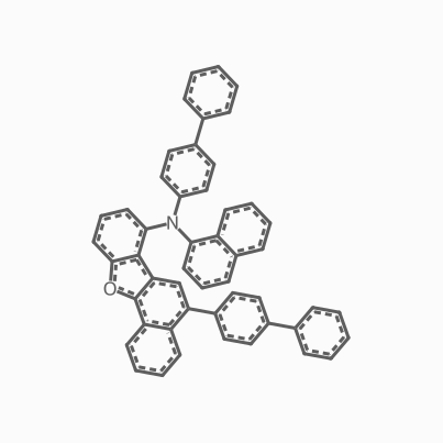 c1ccc(-c2ccc(-c3cc4c(oc5cccc(N(c6ccc(-c7ccccc7)cc6)c6cccc7ccccc67)c54)c4ccccc34)cc2)cc1